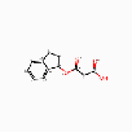 O=C(O)CC(=O)OC1CCc2ccccc21